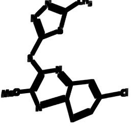 COc1nc2ccc(Cl)cc2nc1Sc1nnc(C)s1